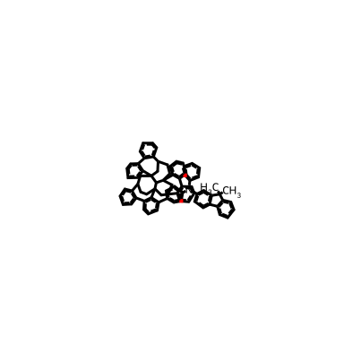 CC1(C)c2ccccc2-c2ccc(N(c3ccccc3)c3ccc(-c4cccc5c4C46CCC(CC78CC(CCC9(CC(C4)c4ccccc4-c4ccccc49)C76)c4ccccc4-c4ccccc48)c4ccccc4-5)cc3)cc21